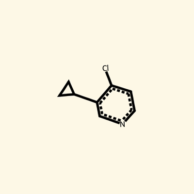 Clc1ccncc1C1CC1